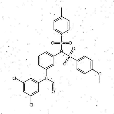 COc1ccc(S(=O)(=O)N(c2cccc(N(C=O)c3cc(Cl)cc(Cl)c3)c2)S(=O)(=O)c2ccc(C)cc2)cc1